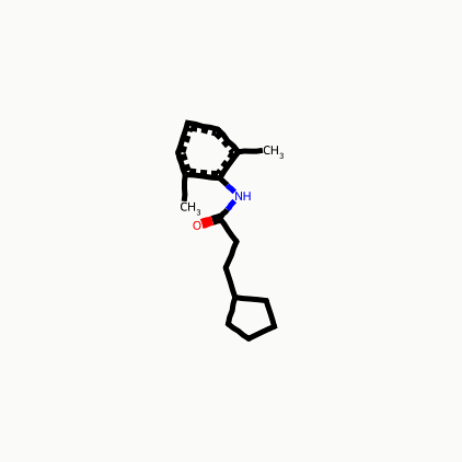 Cc1cccc(C)c1NC(=O)CCC1CCCC1